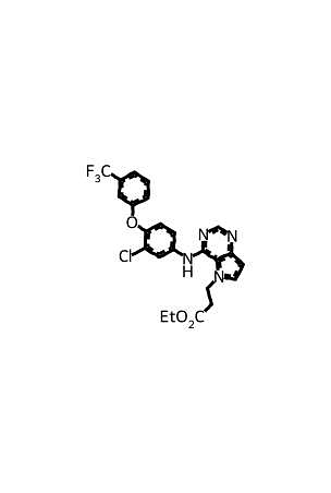 CCOC(=O)CCn1ccc2ncnc(Nc3ccc(Oc4cccc(C(F)(F)F)c4)c(Cl)c3)c21